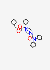 O=C(CN1CCN(C(C2=COC(Cc3ccccc3)O2)c2ccccc2)CC1)N(c1ccccc1)c1ccccc1